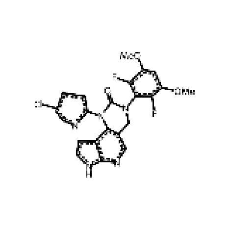 COc1cc(OC)c(F)c(N2Cc3cnc4[nH]ccc4c3N(c3ccc(Cl)cn3)C2=O)c1F